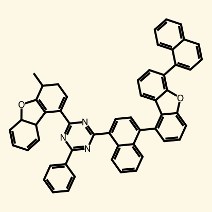 CC1CC=C(c2nc(-c3ccccc3)nc(-c3ccc(-c4cccc5oc6c(-c7cccc8ccccc78)cccc6c45)c4ccccc34)n2)C2=C1OC1C=CC=CC21